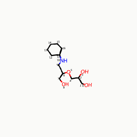 OCC(O)COC(CO)CNC1CCCCC1